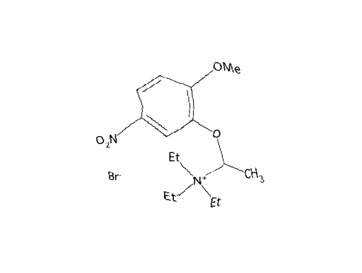 CC[N+](CC)(CC)C(C)Oc1cc([N+](=O)[O-])ccc1OC.[Br-]